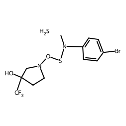 CN(SON1CCC(O)(C(F)(F)F)C1)c1ccc(Br)cc1.S